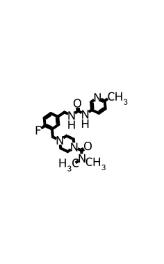 Cc1ccc(NC(=O)NCc2ccc(F)c(CN3CCN(C(=O)N(C)C)CC3)c2)cn1